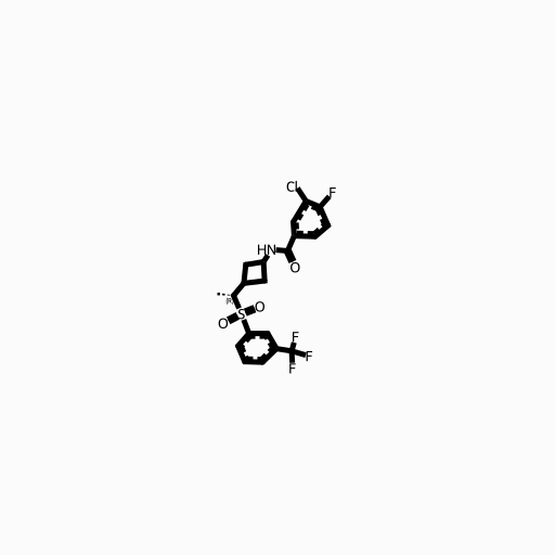 C[C@H](C1CC(NC(=O)c2ccc(F)c(Cl)c2)C1)S(=O)(=O)c1cccc(C(F)(F)F)c1